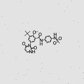 COc1c(C(=O)Nc2ccc(NS(C)(=O)=O)cc2)cc(-n2c(=O)cc[nH]c2=O)cc1C(C)(C)C